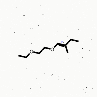 CCOCCO/C=C(\C)CC